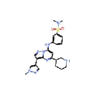 CN(C)S(=O)(=O)c1cccc(Nc2cc(C3CCCNC3)nc3c(-c4cnn(C)c4)cnn23)c1